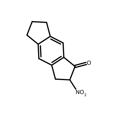 O=C1c2cc3c(cc2CC1[N+](=O)[O-])CCC3